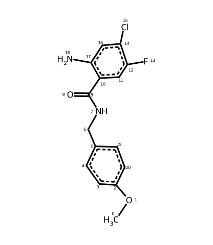 COc1ccc(CNC(=O)c2cc(F)c(Cl)cc2N)cc1